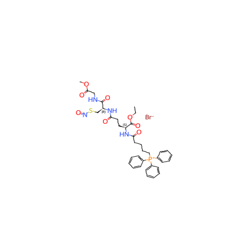 CCOC(=O)[C@H](CCC(=O)N[C@@H](CSN=O)C(=O)NCC(=O)OC)NC(=O)CCCC[P+](c1ccccc1)(c1ccccc1)c1ccccc1.[Br-]